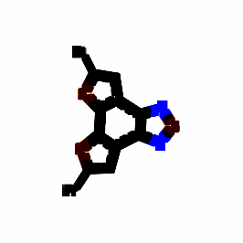 CCc1cc2c3nsnc3c3cc(C(C)C)sc3c2s1